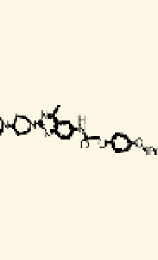 Cc1nc(N2CCC(N(C)C)CC2)nc2ccc(NC(=O)COc3ccc(OC(C)C)cc3)cc12